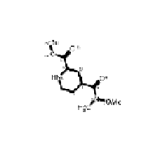 CON(C)C(=O)C1CCNC(C(=O)OC(C)(C)C)C1